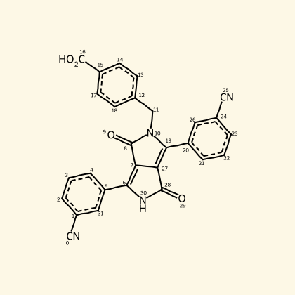 N#Cc1cccc(C2=C3C(=O)N(Cc4ccc(C(=O)O)cc4)C(c4cccc(C#N)c4)=C3C(=O)N2)c1